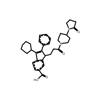 O=C(O)c1ccc2c(c1)C(CCC(=O)N1CCC(N3CCCC3=O)CC1)C(c1ccccc1)=C2C1CCCCC1